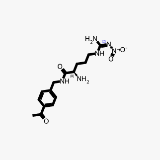 CC(=O)c1ccc(CNC(=O)[C@H](N)CCCN/C(N)=N\[N+](=O)[O-])cc1